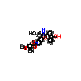 CCOc1ccc(S(=O)(=O)N2CCc3ccc(C(NC(=O)c4cccc5c4-c4ccccc4C5O)C(=O)O)cc3C2)cc1C#N